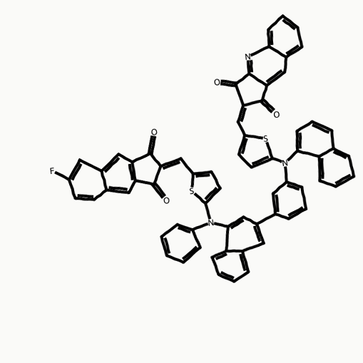 O=C1/C(=C\c2ccc(N(c3ccccc3)c3cc(-c4cccc(N(c5ccc(/C=C6\C(=O)c7cc8ccccc8nc7C6=O)s5)c5cccc6ccccc56)c4)cc4ccccc34)s2)C(=O)c2cc3cc(F)ccc3cc21